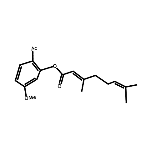 COc1ccc(C(C)=O)c(OC(=O)/C=C(\C)CCC=C(C)C)c1